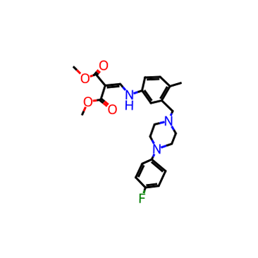 COC(=O)C(=CNc1ccc(C)c(CN2CCN(c3ccc(F)cc3)CC2)c1)C(=O)OC